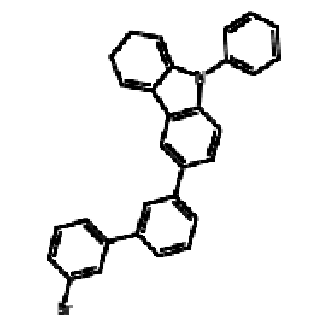 Brc1cccc(-c2cccc(-c3ccc4c(c3)c3c(n4-c4ccccc4)=CCCC=3)c2)c1